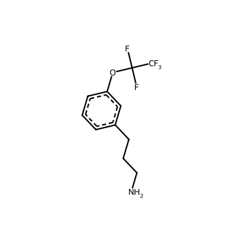 NCCCc1cccc(OC(F)(F)C(F)(F)F)c1